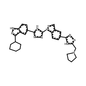 c1cc2c(cnn2-c2nnc(-c3ccc4[nH]nc(C5CCCCC5)c4c3)[nH]2)cc1-c1nnc(CN2CCCC2)[nH]1